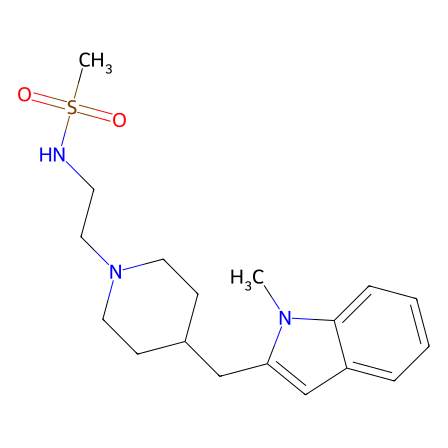 Cn1c(CC2CCN(CCNS(C)(=O)=O)CC2)cc2ccccc21